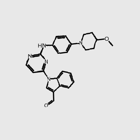 COC1CCN(c2ccc(Nc3nccc(-n4cc(C=O)c5ccccc54)n3)cc2)CC1